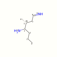 CCCC(N)[C@H](C)CC=N